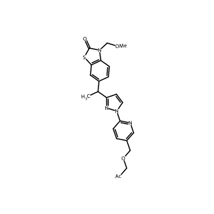 COCn1c(=O)sc2cc(C(C)c3ccn(-c4ccc(COCC(C)=O)cn4)n3)ccc21